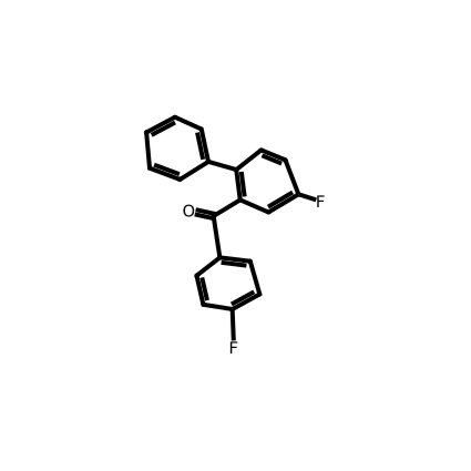 O=C(c1ccc(F)cc1)c1cc(F)ccc1-c1ccccc1